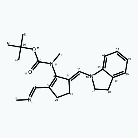 C/N=C/C1=C(N(C)C(=O)OC(C)(C)C)C(=C/N2CCc3ccccc32)/CC1